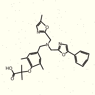 Cc1cnc(CN(Cc2cc(C)c(OC(C)(C)C(=O)O)c(C)c2)Cc2ncc(-c3ccccc3)o2)o1